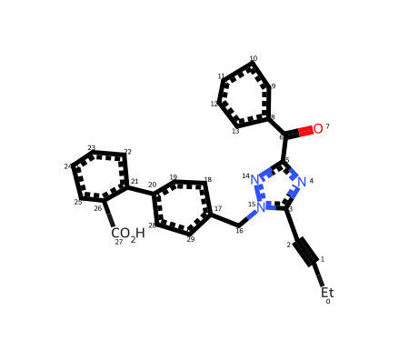 CCC#Cc1nc(C(=O)c2ccccc2)nn1Cc1ccc(-c2ccccc2C(=O)O)cc1